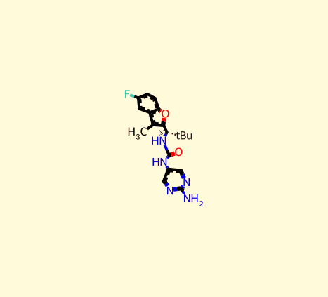 Cc1c([C@@H](NC(=O)Nc2cnc(N)nc2)C(C)(C)C)oc2ccc(F)cc12